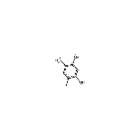 Cc1cc(N)c(C#N)cc1O